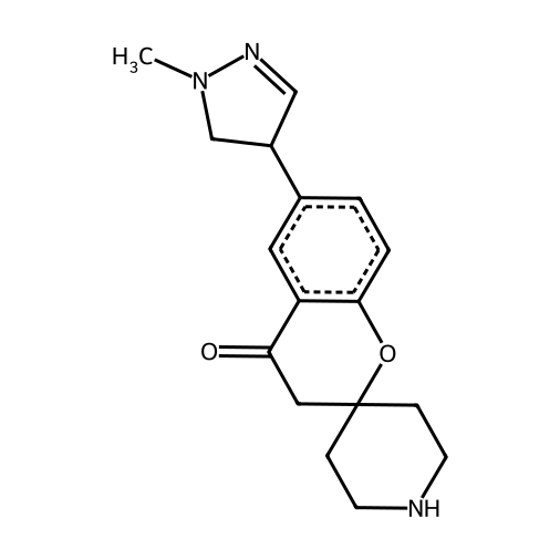 CN1CC(c2ccc3c(c2)C(=O)CC2(CCNCC2)O3)C=N1